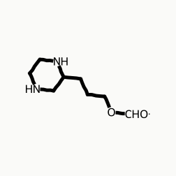 O=[C]OCCCC1CNCCN1